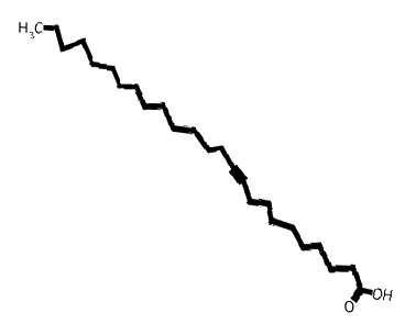 CCCCCCCCCCCCCCC#CCCCCCCCCC(=O)O